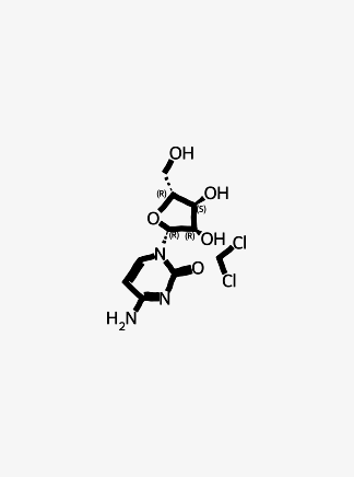 ClCCl.Nc1ccn([C@@H]2O[C@H](CO)[C@@H](O)[C@H]2O)c(=O)n1